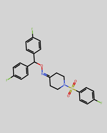 O=S(=O)(c1ccc(F)cc1)N1CCC(=NOC(c2ccc(F)cc2)c2ccc(F)cc2)CC1